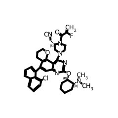 C=C(F)C(=O)N1CCN(c2nc(O[C@@H]3CCCC[C@H]3N(C)C)nc3cc(-c4cccc5cccc(Cl)c45)c4c(c23)OCCC4)C[C@@H]1CC#N